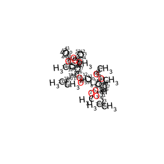 CC(=O)OC1Oc2c(Cc3cccc(C(=O)OCC(CCC=C(C)C)[C@@H]4CC[C@@H](C)c5c4cc(C)c(OC(=O)c4ccccc4)c5OC(=O)c4ccccc4)c3)cc(OC3OC3C)c3c2[C@@H](CC[C@H]3C)[C@@H]1CCC=C(C)C